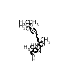 Cc1ncc(C#N)c(Nc2ccc3[nH]ccc3c2C)c1/C=C/CCN1CCN(C(=O)OC(C)(C)C)CC1